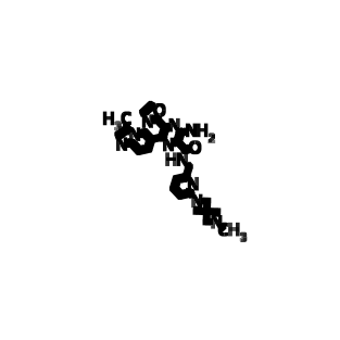 Cc1cnc2ccc(-c3nc(C(=O)NCc4cccc(N5CC6(CN(C)C6)C5)n4)c(N)nc3-c3ncco3)cn12